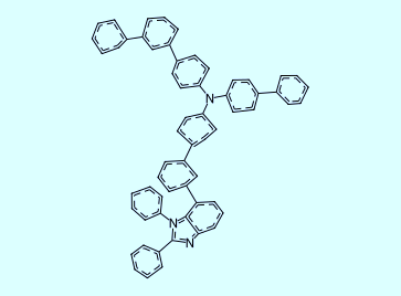 c1ccc(-c2ccc(N(c3ccc(-c4cccc(-c5ccccc5)c4)cc3)c3ccc(-c4cccc(-c5cccc6nc(-c7ccccc7)n(-c7ccccc7)c56)c4)cc3)cc2)cc1